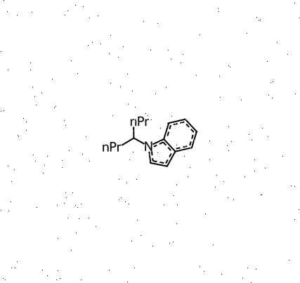 CCCC(CCC)n1ccc2ccccc21